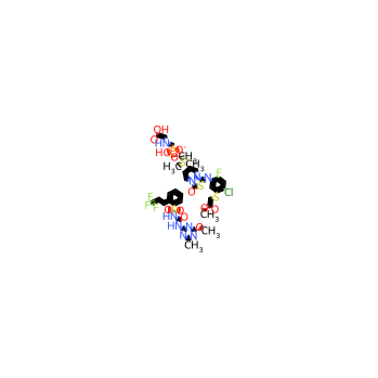 COC(=O)CSc1cc(/N=c2\sc(=O)n3n2CCCC3)c(F)cc1Cl.COc1nc(C)nc(NC(=O)NS(=O)(=O)c2ccccc2CCC(F)(F)F)n1.C[S+](C)C.O=C(O)CNCP(=O)([O-])O